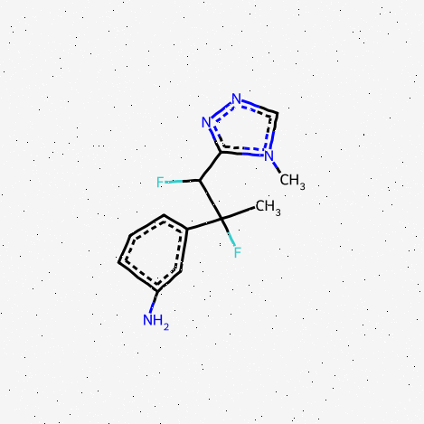 Cn1cnnc1C(F)C(C)(F)c1cccc(N)c1